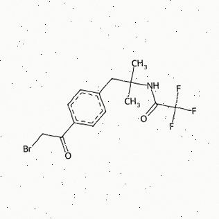 CC(C)(Cc1ccc(C(=O)CBr)cc1)NC(=O)C(F)(F)F